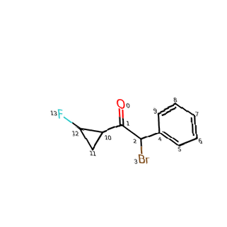 O=C(C(Br)c1ccccc1)C1CC1F